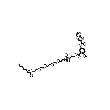 CCCCC[C@@H](C)C(=O)NCCOCCOCCOCCOCCNC(=O)CCCNC(=O)c1cc(NC(=O)c2cn3ccsc3n2)ccc1OC